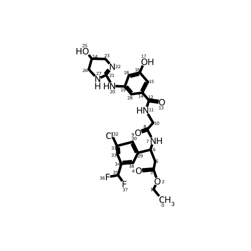 CCOC(=O)CC(NC(=O)CNC(=O)c1cc(O)cc(NC2=NCC(O)CN2)c1)c1cc(Cl)cc(C(F)F)c1